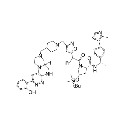 Cc1ncsc1-c1ccc([C@H](C)NC(=O)[C@@H]2CC(O[Si](C)(C)C(C)(C)C)CN2C(=O)C(c2cc(CN3CCC(CN4CCN5c6cc(-c7ccccc7O)nnc6NC[C@H]5C4)CC3)no2)C(C)C)cc1